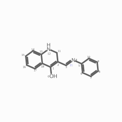 OC1=C(/C=N/c2ccccc2)CNc2ccccc21